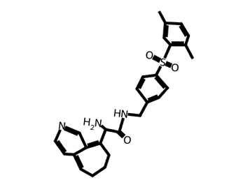 Cc1ccc(C)c(S(=O)(=O)c2ccc(CNC(=O)C(N)C3=c4cnccc4=CCCC3)cc2)c1